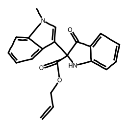 C=CCOC(=O)C1(c2cn(C)c3ccccc23)Nc2ccccc2C1=O